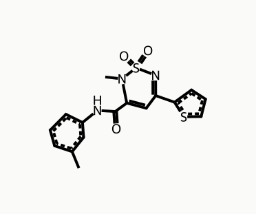 Cc1cccc(NC(=O)C2=CC(c3cccs3)=NS(=O)(=O)N2C)c1